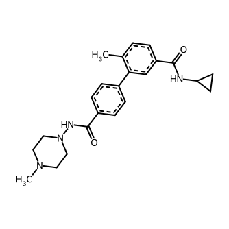 Cc1ccc(C(=O)NC2CC2)cc1-c1ccc(C(=O)NN2CCN(C)CC2)cc1